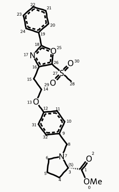 COC(=O)[C@@H]1CCCN1Cc1ccc(OCCc2nc(-c3ccccc3)oc2S(C)(=O)=O)cc1